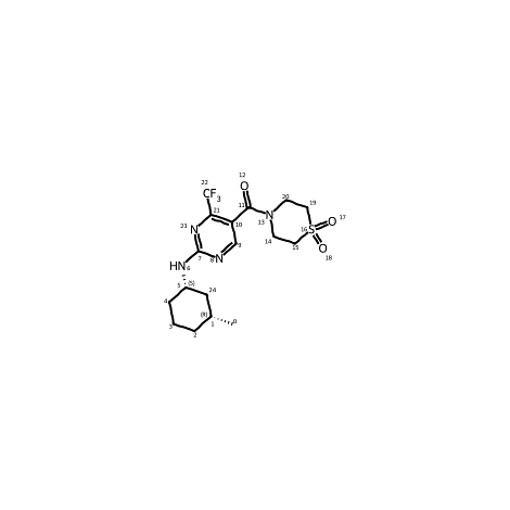 C[C@@H]1CCC[C@H](Nc2ncc(C(=O)N3CCS(=O)(=O)CC3)c(C(F)(F)F)n2)C1